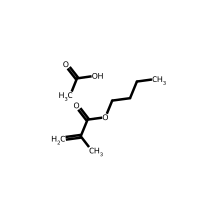 C=C(C)C(=O)OCCCC.CC(=O)O